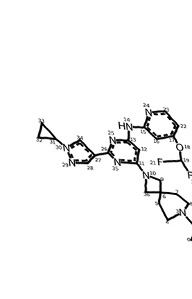 CC(=O)N1CCC2(CC1)CN(c1cc(Nc3cc(OC(F)F)ccn3)nc(-c3cnn(C4CC4)c3)n1)C2